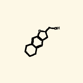 OCC1Cc2cc3c(cc2O1)CCCC3